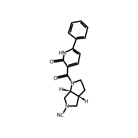 N#CN1C[C@H]2CCN(C(=O)c3ccc(-c4ccccc4)[nH]c3=O)[C@H]2C1